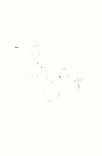 C=CCc1cccc(CNC[C@@H](O)[C@H](Cc2cc(F)cc(F)c2)NC(=O)c2cc(C)cc(C(=O)N(CCC)CCC)c2)c1